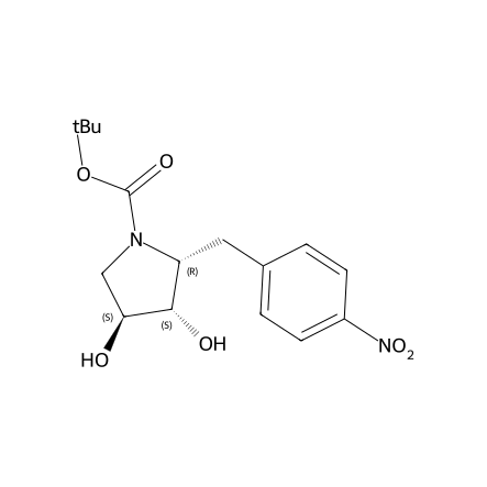 CC(C)(C)OC(=O)N1C[C@H](O)[C@@H](O)[C@H]1Cc1ccc([N+](=O)[O-])cc1